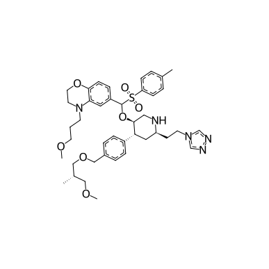 COCCCN1CCOc2ccc(C(O[C@H]3CN[C@@H](CCn4cnnc4)C[C@@H]3c3ccc(COC[C@@H](C)COC)cc3)S(=O)(=O)c3ccc(C)cc3)cc21